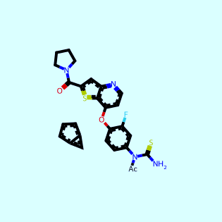 CC(=O)N(C(N)=S)c1ccc(Oc2ccnc3cc(C(=O)N4CCCC4)sc23)c(F)c1.c1cc2cc-2c1